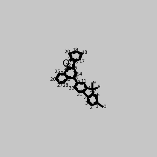 Cc1ccc2c(c1)C(C)(C)c1cc(-c3cc4c5ccccc5oc4c4ccccc34)ccc1-2